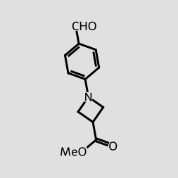 COC(=O)C1CN(c2ccc(C=O)cc2)C1